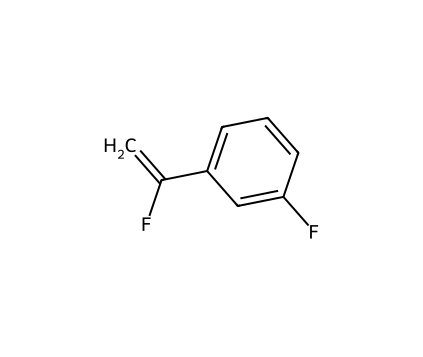 C=C(F)c1cccc(F)c1